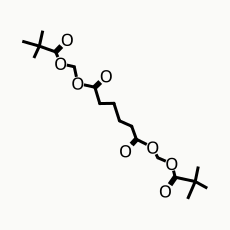 CC(C)(C)C(=O)OCOC(=O)CCCCC(=O)OCOC(=O)C(C)(C)C